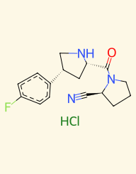 Cl.N#C[C@@H]1CCCN1C(=O)[C@@H]1C[C@H](c2ccc(F)cc2)CN1